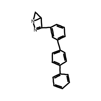 c1ccc(-c2ccc(-c3cccc(C4=NN5CC45)c3)cc2)cc1